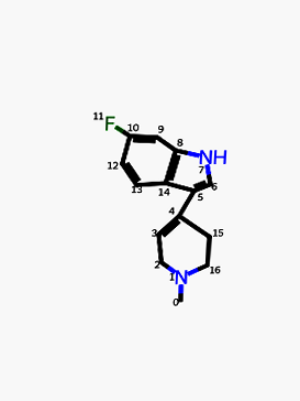 CN1CC=C(c2c[nH]c3cc(F)ccc23)CC1